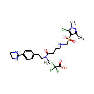 Cc1nn(C)c(Cl)c1S(=O)(=O)CNCCCC(=O)N(C)CCc1ccc(C2=NCCN2)cc1.O=C(O)C(F)(F)F